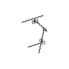 CCCCCCCCC(CCCCCC)C(=O)OCCCCCCN(CC)CCCCCCOC(=O)C(CCCCCC)CCCCCCCC